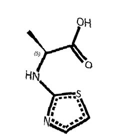 C[C@H](Nc1nccs1)C(=O)O